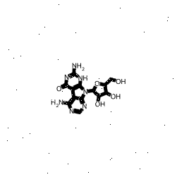 Nc1nc(=O)c2c3c(N)ncnc3n(C3OC(CO)C(O)C3O)c2[nH]1